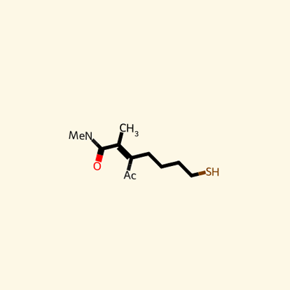 CNC(=O)/C(C)=C(/CCCCS)C(C)=O